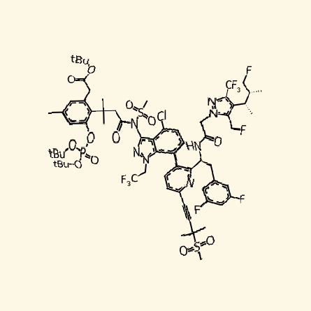 Cc1cc(CC(=O)OC(C)(C)C)c(C(C)(C)CC(=O)N(c2nn(CC(F)(F)F)c3c(-c4ccc(C#CC(C)(C)S(C)(=O)=O)nc4[C@H](Cc4cc(F)cc(F)c4)NC(=O)Cn4nc(C(F)(F)F)c([C@@H](C)[C@@H](C)CF)c4CF)ccc(Cl)c23)S(C)(=O)=O)c(OP(=O)(OC(C)(C)C)OC(C)(C)C)c1